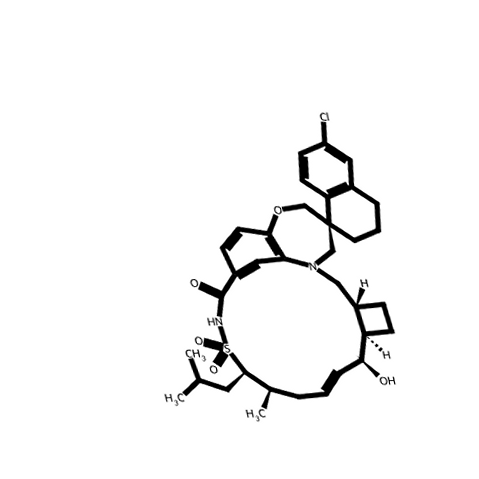 CC(C)C[C@@H]1[C@H](C)C/C=C/[C@H](O)[C@@H]2CC[C@H]2CN2C[C@@]3(CCCc4cc(Cl)ccc43)COc3ccc(cc32)C(=O)NS1(=O)=O